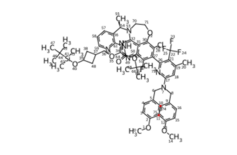 COc1ccc(CN(Cc2ccc(OC)cc2)c2cc(C)c(C(F)(F)F)c(-c3c(Cl)c4c5c(nc(OCC6CC(O[Si](C)(C)C(C)(C)C)C6)nc5c3F)N([C@H](C)c3cccnc3NC(=O)OC(C)(C)C)CCO4)n2)cc1